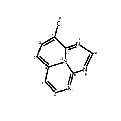 ClC1=CC=C2C=CN=C3N=CN=C1N23